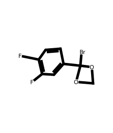 Fc1ccc(C2(Br)OCO2)cc1F